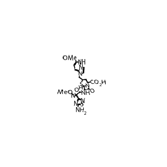 CO/N=C(\C(=O)N[C@@H]1C(=O)N2C(C(=O)O)=CC(CN3C=CN4NC(OC)=CC=C34)S[C@@H]12)c1nsc(N)n1